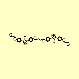 c1cc(-c2nnc(-c3ccc(OCC4CO4)cc3)[nH]2)ccc1OCCCCOc1ccc(-c2nnc(-c3ccc(OCC4CO4)cc3)[nH]2)cc1